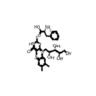 Cc1cc2nc3c(=O)[nH]c(=O)nc-3n(C[C@H](O)[C@H](O)[C@H](O)CO)c2cc1C.N[C@@H](Cc1ccccc1)C(=O)O